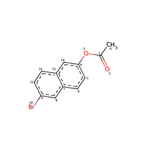 CC(=O)Oc1ccc2cc(Br)ccc2c1